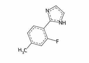 Cc1ccc(-c2ncc[nH]2)c(F)c1